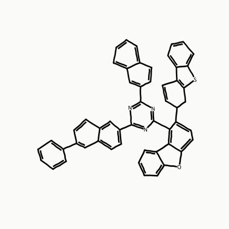 C1=CC(c2ccc3oc4ccccc4c3c2-c2nc(-c3ccc4ccccc4c3)nc(-c3ccc4cc(-c5ccccc5)ccc4c3)n2)Cc2sc3ccccc3c21